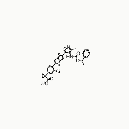 Cc1nsc(-c2cc3sc(-c4ccc(C5(C(=O)O)CC5)cc4Cl)cc3s2)c1NC(=O)O[C@H](C)c1ccccc1